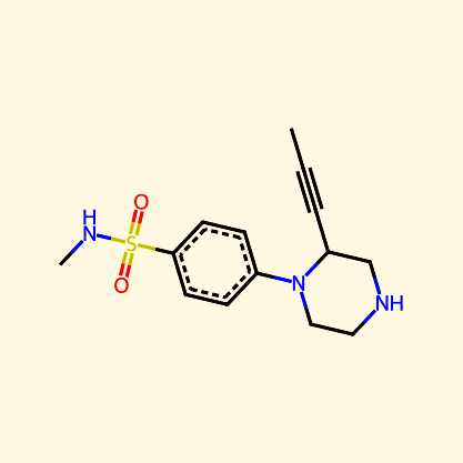 CC#CC1CNCCN1c1ccc(S(=O)(=O)NC)cc1